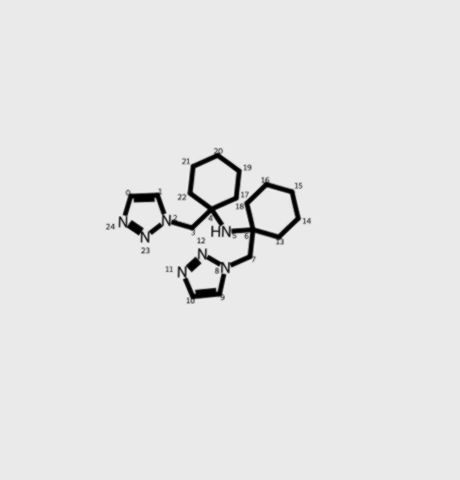 c1cn(CC2(NC3(Cn4ccnn4)CCCCC3)CCCCC2)nn1